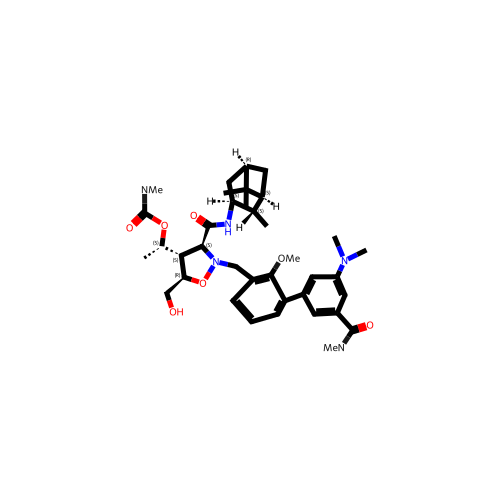 CNC(=O)O[C@@H](C)[C@H]1[C@H](CO)ON(Cc2cccc(-c3cc(C(=O)NC)cc(N(C)C)c3)c2OC)[C@@H]1C(=O)N[C@H]1C[C@H]2C[C@@H]([C@@H]1C)C2(C)C